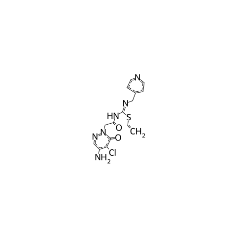 C=CS/C(=N\Cc1ccncc1)NC(=O)Cn1ncc(N)c(Cl)c1=O